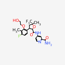 Cc1c(F)ccc(C2C[C@](C)(C(F)(F)F)OC2C(=O)Nc2ccnc(C(N)=O)c2)c1OCCO